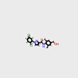 Cc1cc(CO)cc(C)c1NC(=O)c1ccn(-c2cc(Cl)ccc2Cl)n1